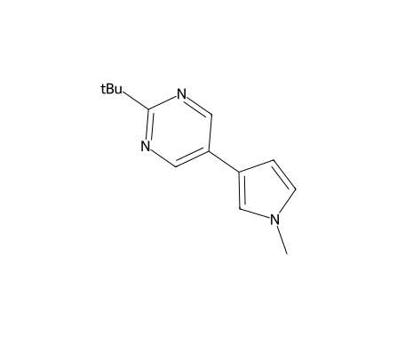 Cn1ccc(-c2cnc(C(C)(C)C)nc2)c1